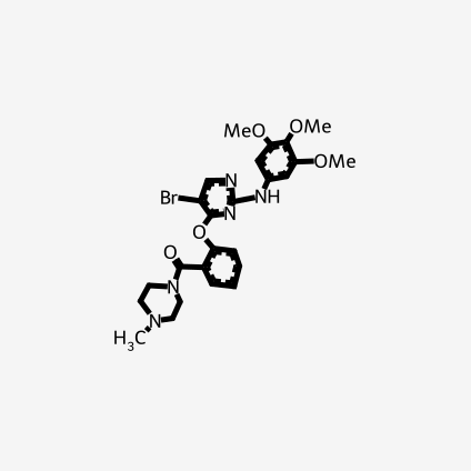 COc1cc(Nc2ncc(Br)c(Oc3ccccc3C(=O)N3CCN(C)CC3)n2)cc(OC)c1OC